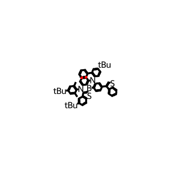 Cc1cc2c3c(c1)N(c1c(C)cc(C(C)(C)C)cc1C)c1c(sc4ccc(C(C)(C)C)cc14)B3c1ccc(-c3csc4ccccc34)cc1N2c1ccc(C(C)(C)C)cc1-c1ccccc1